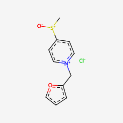 C[S+]([O-])c1cc[n+](Cc2ccco2)cc1.[Cl-]